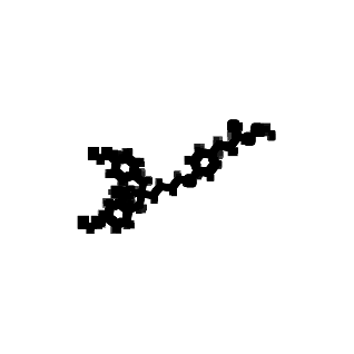 [CH2]C(CCCCOc1ccc(/C=C/C(=O)OC)cc1)(Cc1ccc(N)cc1)Cc1ccc(N)cc1